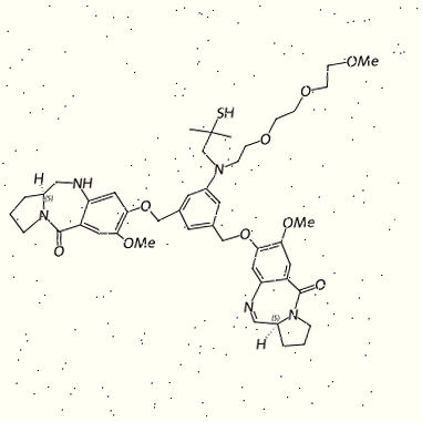 COCCOCCOCCN(CC(C)(C)S)c1cc(COc2cc3c(cc2OC)C(=O)N2CCC[C@H]2C=N3)cc(COc2cc3c(cc2OC)C(=O)N2CCC[C@H]2CN3)c1